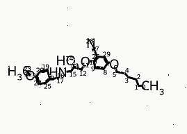 CCCCCCOc1ccc(OC[C@@H](O)CNCc2ccc(OC)cc2)c(C#N)c1